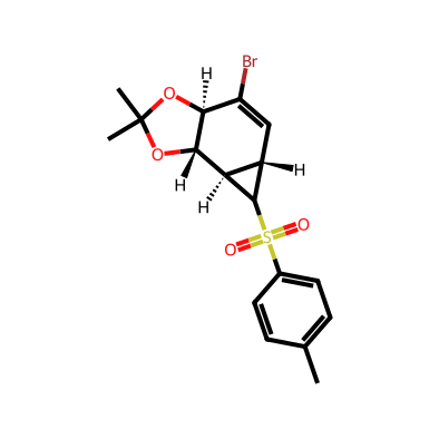 Cc1ccc(S(=O)(=O)C2[C@H]3[C@@H]4OC(C)(C)O[C@H]4C(Br)=C[C@H]23)cc1